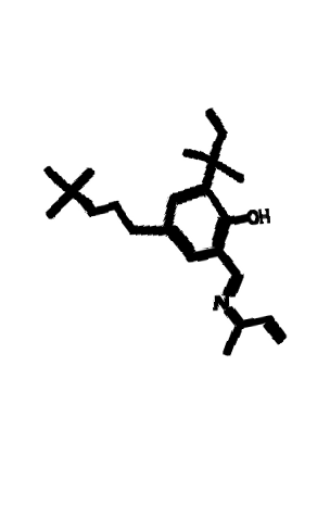 C=CC(C)/N=C/c1cc(CCCC(C)(C)C)cc(C(C)(C)CC)c1O